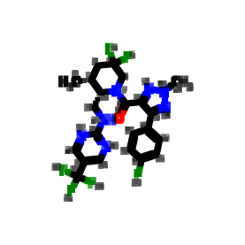 C[C@@H]1CC(F)(F)CN(C(=O)c2nn(C)nc2-c2ccc(F)cc2)[C@@H]1CNc1ncc(C(F)(F)F)cn1